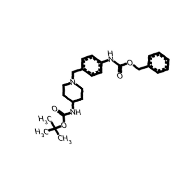 CC(C)(C)OC(=O)NC1CCN(Cc2ccc(NC(=O)OCc3ccccc3)cc2)CC1